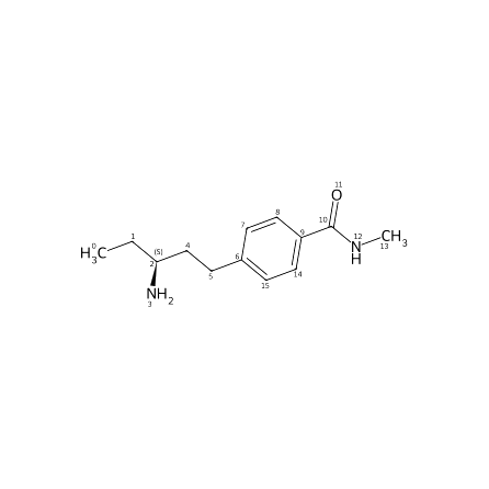 CC[C@H](N)CCc1ccc(C(=O)NC)cc1